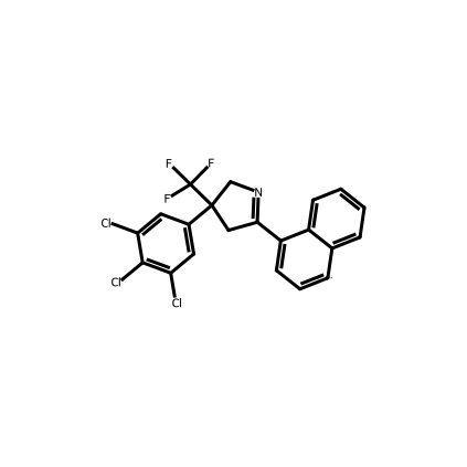 FC(F)(F)C1(c2cc(Cl)c(Cl)c(Cl)c2)CN=C(c2cc[c]c3ccccc23)C1